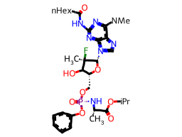 CCCCCCC(=O)Nc1nc(NC)c2ncn([C@@H]3O[C@H](CO[P@@](=O)(N[C@@H](C)C(=O)OC(C)C)Oc4ccccc4)C(O)[C@@]3(C)F)c2n1